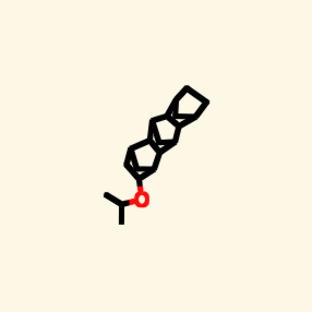 CC(C)OC1CC2CC1C1C3CC(C4C5CCC(C5)C34)C21